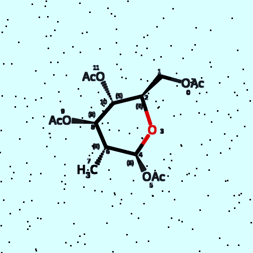 CC(=O)OC[C@H]1O[C@@H](OC(C)=O)[C@H](C)[C@@H](OC(C)=O)[C@@H]1OC(C)=O